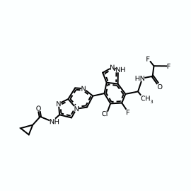 CC(NC(=O)C(F)F)c1c(F)c(Cl)c(-c2cn3cc(NC(=O)C4CC4)nc3cn2)c2cn[nH]c12